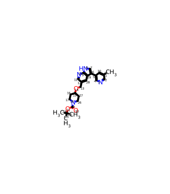 Cc1cncc(-c2c[nH]c3ncc(COC4CCN(C(=O)OC(C)(C)C)CC4)cc23)c1